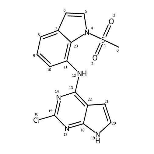 CS(=O)(=O)n1ccc2cccc(Nc3nc(Cl)nc4[nH]ccc34)c21